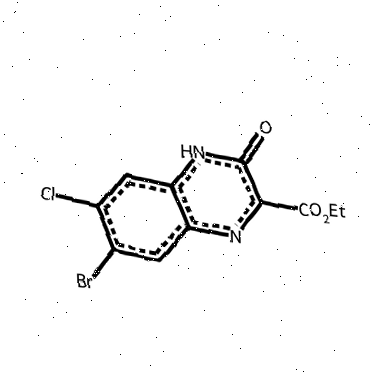 CCOC(=O)c1nc2cc(Br)c(Cl)cc2[nH]c1=O